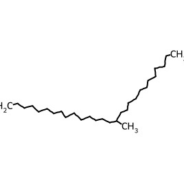 [CH2]CCCCCCCCCCCCCCC(C)CCCCCCCCCCC[CH2]